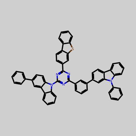 c1ccc(-c2ccc3c(c2)c2ccccc2n3-c2nc(-c3cccc(-c4ccc5c6ccccc6n(-c6ccccc6)c5c4)c3)nc(-c3ccc4c(c3)sc3ccccc34)n2)cc1